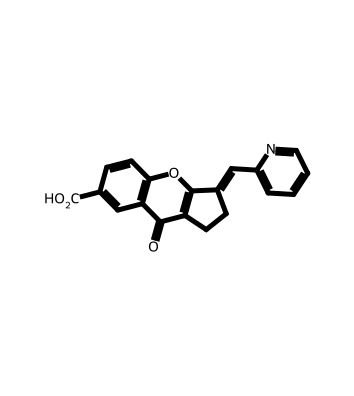 O=C(O)c1ccc2oc3c(c(=O)c2c1)CC/C3=C\c1ccccn1